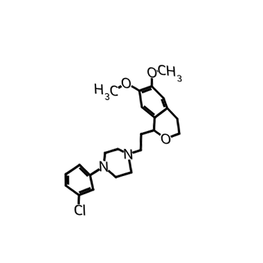 COc1cc2c(cc1OC)C(CCN1CCN(c3cccc(Cl)c3)CC1)OCC2